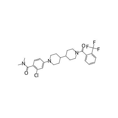 CN(C)C(=O)c1ccc(N2CCC(C3CCN(C(=O)c4ccccc4C(F)(F)F)CC3)CC2)cc1Cl